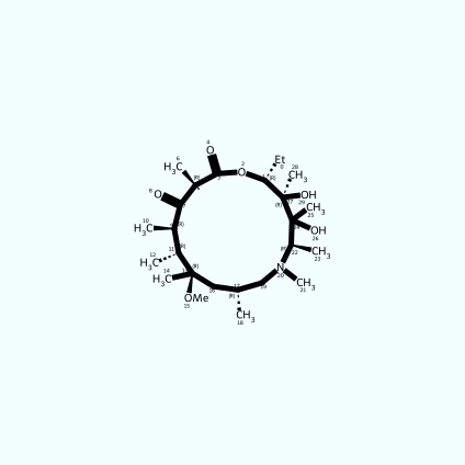 CC[C@H]1OC(=O)[C@H](C)C(=O)[C@H](C)[C@@H](C)[C@](C)(OC)C[C@@H](C)CN(C)[C@H](C)C(C)(O)[C@]1(C)O